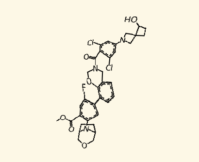 COC(=O)c1cc(F)c(-c2cccc3c2OCN(C(=O)c2c(Cl)cc(N4CC5(CCC5O)C4)cc2Cl)C3)cc1N1C2CCC1COC2